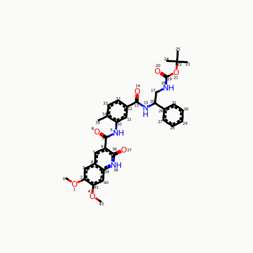 COc1cc2cc(C(=O)Nc3cc(C(=O)NC(CNC(=O)OC(C)(C)C)c4ccccc4)ccc3C)c(=O)[nH]c2cc1OC